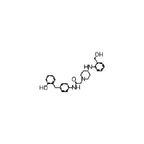 O=C(CN1CCC(Nc2ccccc2CO)CC1)Nc1ccc(Cc2ccccc2O)cc1